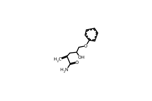 C=C(CC(O)COc1ccccc1)C(N)=O